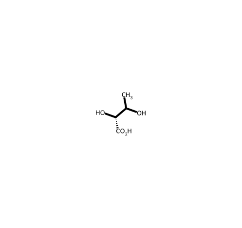 CC(O)[C@@H](O)C(=O)O